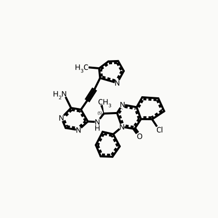 Cc1cccnc1C#Cc1c(N)ncnc1N[C@@H](C)c1nc2cccc(Cl)c2c(=O)n1-c1ccccc1